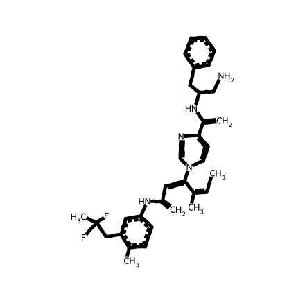 C=C(/C=C(\C(C)=C/C)N1C=C=C(C(=C)NC(CN)Cc2ccccc2)N=C1)Nc1ccc(C)c(CC(C)(F)F)c1